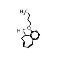 CCCCOc1cccc2c1C(C)C/C=C/C=C\2